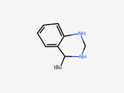 CC(C)(C)C1NCNc2ccccc21